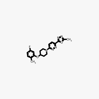 Cc1nnc(-c2ccc(N3CCC(Oc4cc(F)ccc4C)CC3)nn2)o1